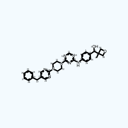 CC1(C(O)c2ccc(Nc3ncnc(N4CCN(c5ncc(Cc6ccccc6)cn5)CC4)n3)cc2)COC1